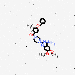 COc1cc2nc(N3CCCN(C(=O)c4ccc(OCc5ccccc5)c(C)c4)CC3)nc(N)c2cc1OC